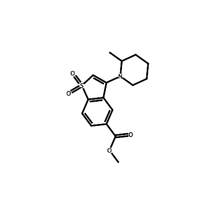 COC(=O)c1ccc2c(c1)C(N1CCCCC1C)=CS2(=O)=O